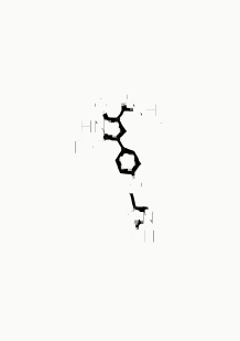 Cc1ncc(COc2ccc(-c3cc(C(N)=O)c(=O)[nH]c3C(F)(F)F)cc2)s1